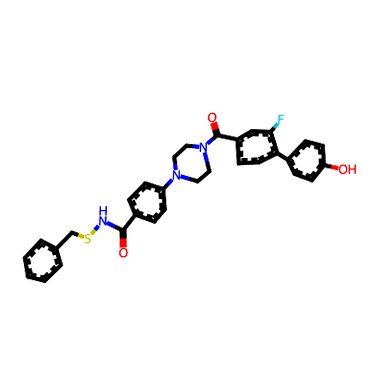 O=C(NSCc1ccccc1)c1ccc(N2CCN(C(=O)c3ccc(-c4ccc(O)cc4)c(F)c3)CC2)cc1